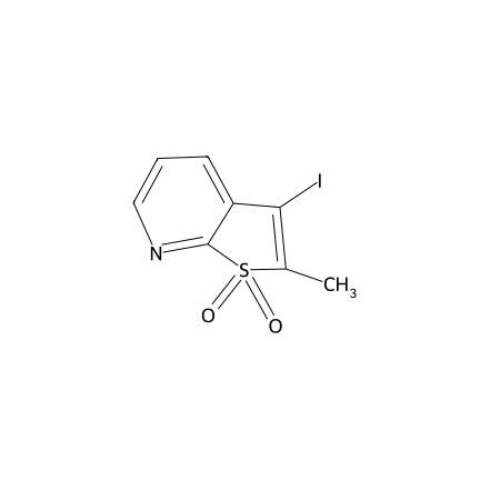 CC1=C(I)c2cccnc2S1(=O)=O